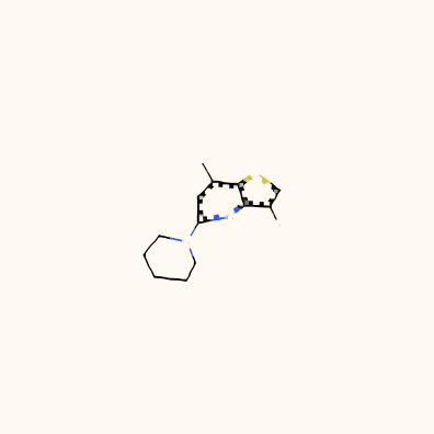 CC(=O)c1csc2c(C(F)(F)F)cc(N3CC[CH]CC3)nc12